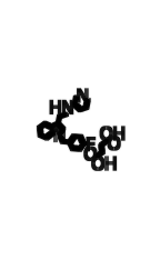 Fc1ccc(Cn2cc(CCNc3cccnc3)c3ccccc32)cc1.O=C(O)C=CC(=O)O